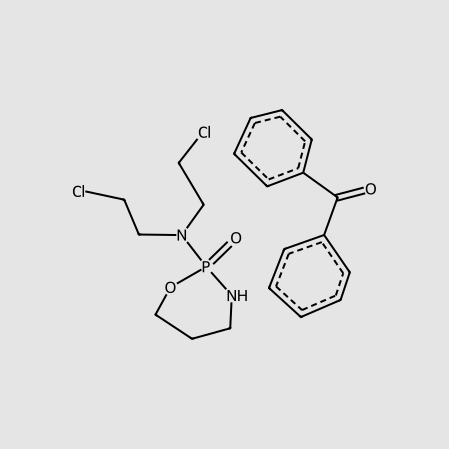 O=C(c1ccccc1)c1ccccc1.O=P1(N(CCCl)CCCl)NCCCO1